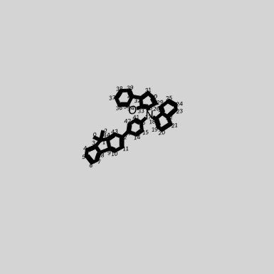 CC1(C)c2ccccc2-c2ccc(-c3ccc(N(c4cccc5ccccc45)c4cccc5c4oc4ccccc45)cc3)cc21